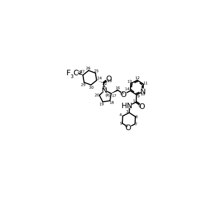 O=C(NC1CCOCC1)c1ncccc1OC[C@H]1CCCN1C(=O)[C@H]1CC[C@H](C(F)(F)F)CC1